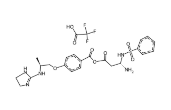 C[C@@H](COc1ccc(C(=O)OC(=O)C[C@@H](N)NS(=O)(=O)c2ccccc2)cc1)NC1=NCCN1.O=C(O)C(F)(F)F